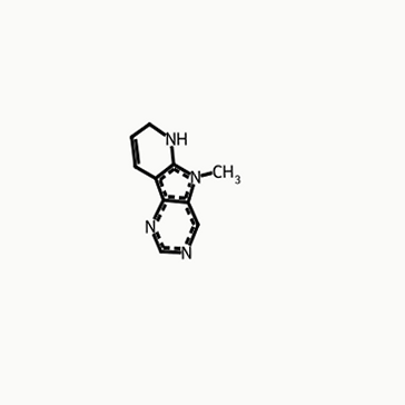 Cn1c2c(c3ncncc31)C=CCN2